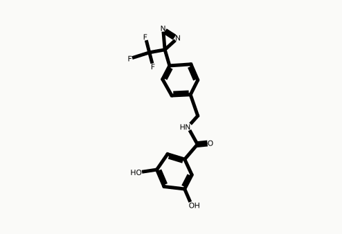 O=C(NCc1ccc(C2(C(F)(F)F)N=N2)cc1)c1cc(O)cc(O)c1